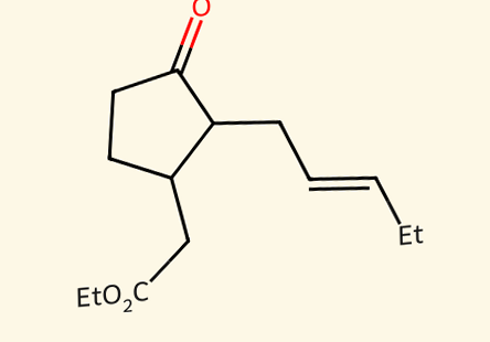 CCC=CCC1C(=O)CCC1CC(=O)OCC